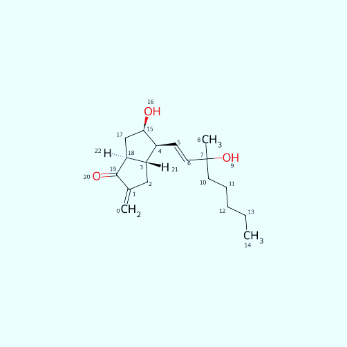 C=C1C[C@H]2[C@H](C=CC(C)(O)CCCCC)[C@H](O)C[C@@H]2C1=O